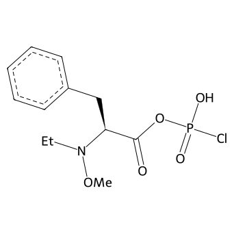 CCN(OC)[C@@H](Cc1ccccc1)C(=O)OP(=O)(O)Cl